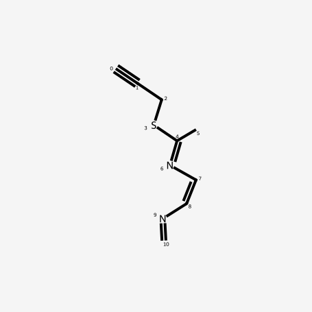 C#CCS/C(C)=N/C=C\N=C